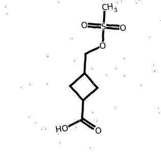 CS(=O)(=O)OCC1CC(C(=O)O)C1